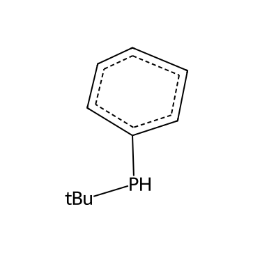 CC(C)(C)Pc1ccccc1